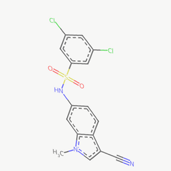 Cn1cc(C#N)c2ccc(NS(=O)(=O)c3cc(Cl)cc(Cl)c3)cc21